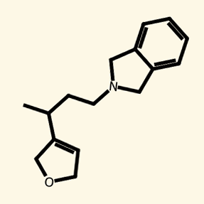 CC(CCN1Cc2ccccc2C1)C1=CCOC1